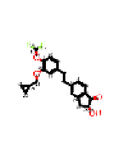 O=C1c2ccc(CCc3ccc(OC(F)F)c(OCC4CC4)c3)cc2CC1O